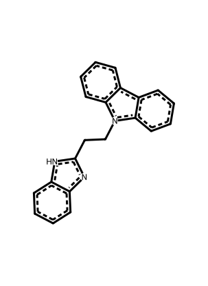 c1ccc2[nH]c(CCn3c4ccccc4c4ccccc43)nc2c1